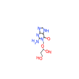 Nc1nc2nc[nH]c2c(=O)n1COC(O)CCO